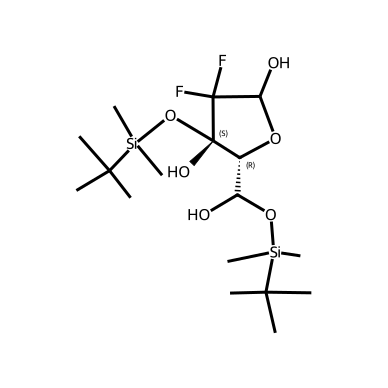 CC(C)(C)[Si](C)(C)OC(O)[C@H]1OC(O)C(F)(F)[C@@]1(O)O[Si](C)(C)C(C)(C)C